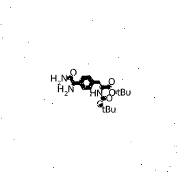 CC(C)(C)OC(=O)N[C@@H](Cc1ccc(C(N)C(N)=O)cc1)C(=O)OC(C)(C)C